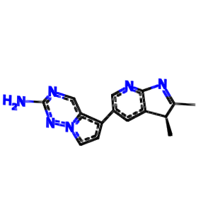 CC1=Nc2ncc(-c3ccn4nc(N)ncc34)cc2[C@@H]1C